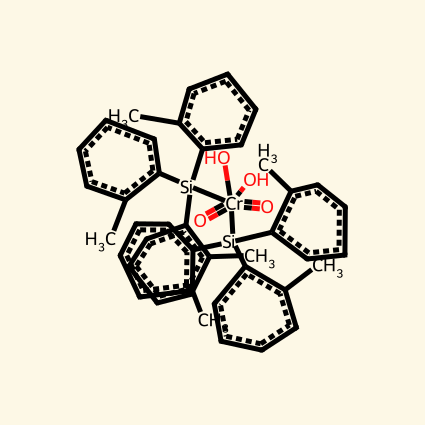 Cc1ccccc1[Si](c1ccccc1C)(c1ccccc1C)[Cr](=[O])(=[O])([OH])([OH])[Si](c1ccccc1C)(c1ccccc1C)c1ccccc1C